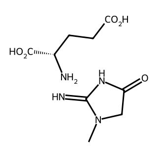 CN1CC(=O)NC1=N.N[C@@H](CCC(=O)O)C(=O)O